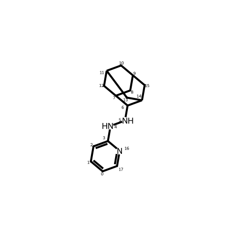 c1ccc(NNC2C3CC4CC(C3)CC2C4)nc1